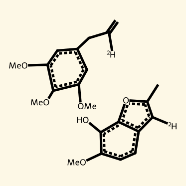 [2H]C(=C)Cc1cc(OC)c(OC)c(OC)c1.[2H]c1c(C)oc2c(O)c(OC)ccc12